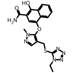 CCn1nnnc1SCc1cnn(C)c1Oc1cc(C(N)=O)c(O)c2ccccc12